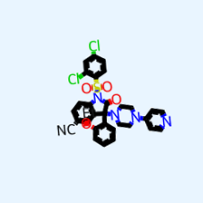 CCOc1ccccc1C1(N2CCN(c3ccncc3)CC2)C(=O)N(S(=O)(=O)c2ccc(Cl)cc2Cl)c2ccc(C#N)cc21